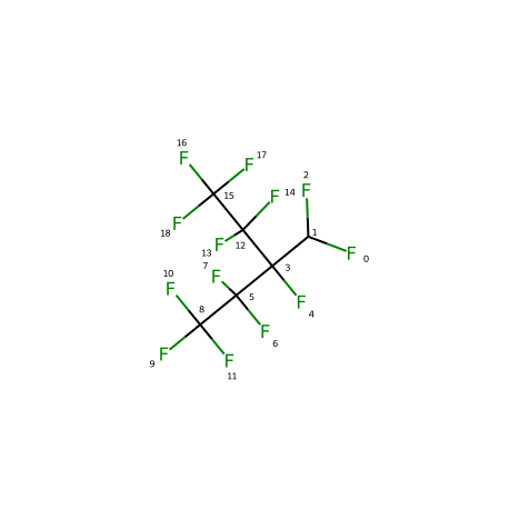 FC(F)C(F)(C(F)(F)C(F)(F)F)C(F)(F)C(F)(F)F